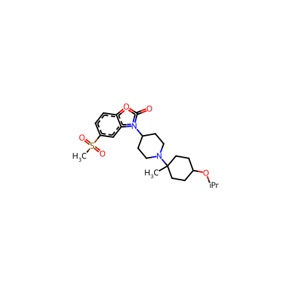 CC(C)OC1CCC(C)(N2CCC(n3c(=O)oc4ccc(S(C)(=O)=O)cc43)CC2)CC1